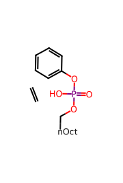 C=C.CCCCCCCCCOP(=O)(O)Oc1ccccc1